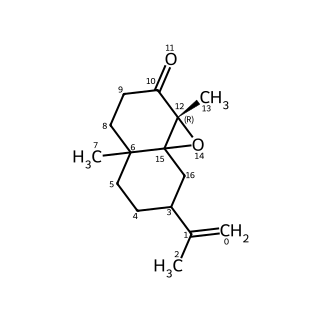 C=C(C)C1CCC2(C)CCC(=O)[C@]3(C)OC23C1